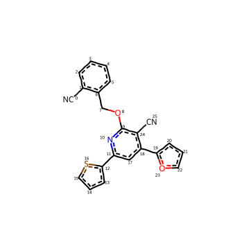 N#Cc1ccccc1COc1nc(-c2cccs2)cc(-c2ccco2)c1C#N